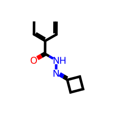 C=C/C(=C\C)C(=O)NN=C1CCC1